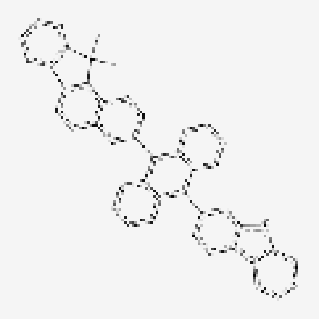 CC1(C)c2ccccc2-c2ccc3cc(-c4c5ccccc5c(-c5ccc6c(c5)sc5ccccc56)c5ccccc45)ccc3c21